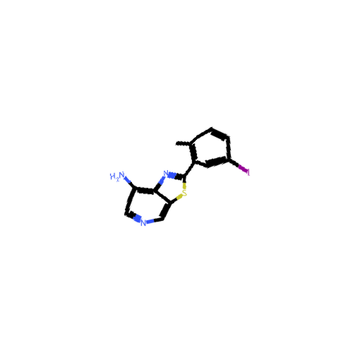 Cc1ccc(I)cc1-c1nc2c(N)cncc2s1